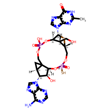 Cc1nc2c(ncn2[C@@H]2S[C@@H]3CO[P@@](=O)(S)O[C@H]4[C@@H](O)[C@H](n5cnc6c(N)ncnc65)[C@H]5CC54COP(=O)(O)O[C@@H]2[C@@H]3CO)c(=O)[nH]1